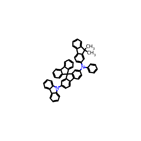 CC1(C)c2ccccc2-c2ccc(N(c3ccccc3)c3ccc4c(c3)C3(c5ccccc5-c5ccccc53)c3cc(-n5c6ccccc6c6ccccc65)ccc3-4)cc21